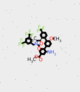 COC(=O)c1ccc(-c2ccc(OC)c(-c3ccc(C(F)(F)F)cc3[C@H]3OC(=O)N(Cc4cc(C(F)(F)F)cc(C(F)(F)F)c4)[C@@H]3C)c2)c(N)c1